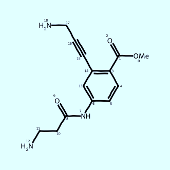 COC(=O)c1ccc(NC(=O)CCN)cc1C#CCN